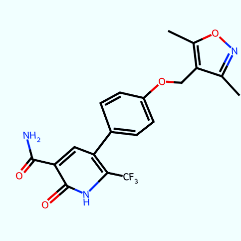 Cc1noc(C)c1COc1ccc(-c2cc(C(N)=O)c(=O)[nH]c2C(F)(F)F)cc1